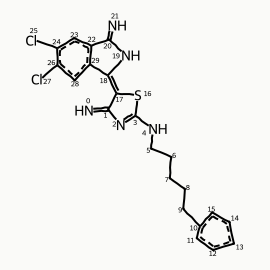 N=C1N=C(NCCCCCc2ccccc2)SC1=C1NC(=N)c2cc(Cl)c(Cl)cc21